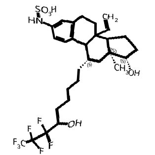 C=CC12CCc3cc(NS(=O)(=O)O)ccc3C1[C@@H](CCCCCC(O)C(F)(F)C(F)(F)C(F)(F)F)C[C@@]1(C)C2CC[C@@H]1O